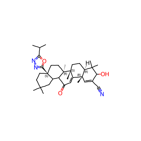 CC(C)c1nnc([C@]23CCC(C)(C)CC2C2C(=O)C=C4[C@@]5(C)C=C(C#N)C(O)C(C)(C)[C@@H]5CC[C@@]4(C)[C@]2(C)CC3)o1